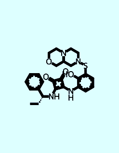 CC[C@@H](Nc1c(Nc2cccc(SN3CCN4CCOCC4C3)c2O)c(=O)c1=O)c1ccccc1